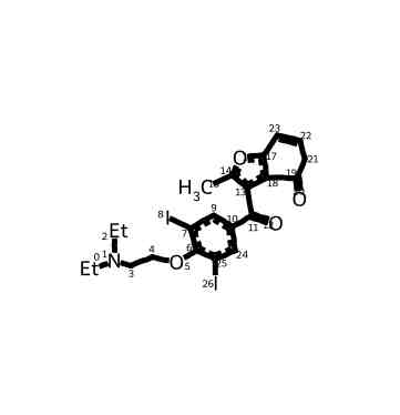 CCN(CC)CCOc1c(I)cc(C(=O)c2c(C)oc3c2C(=O)CC=C3)cc1I